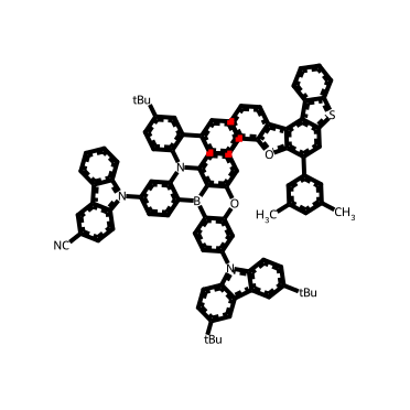 Cc1cc(C)cc(-c2cc3sc4ccccc4c3c3c2oc2c(-c4cc5c6c(c4)N(c4ccc(C(C)(C)C)cc4-c4ccccc4)c4cc(-n7c8ccccc8c8cc(C#N)ccc87)ccc4B6c4ccc(-n6c7ccc(C(C)(C)C)cc7c7cc(C(C)(C)C)ccc76)cc4O5)cccc23)c1